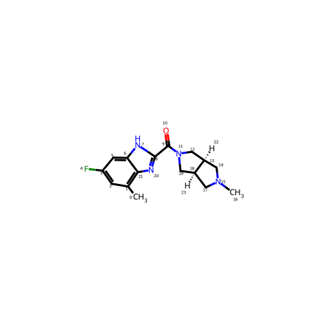 Cc1cc(F)cc2[nH]c(C(=O)N3C[C@H]4CN(C)C[C@H]4C3)nc12